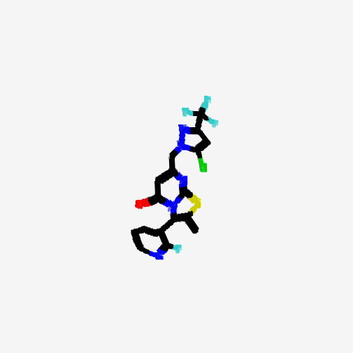 Cc1sc2nc(Cn3nc(C(F)(F)F)cc3Cl)cc(=O)n2c1-c1cccnc1F